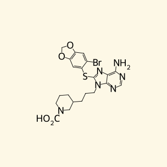 Nc1ncnc2c1nc(Sc1cc3c(cc1Br)OCO3)n2CCCC1CCCN(C(=O)O)C1